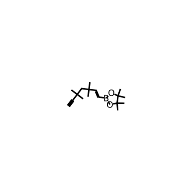 C#CC(C)(C)CC(C)(C)/C=C/B1OC(C)(C)C(C)(C)O1